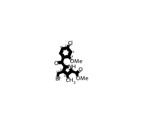 COC(=O)c1[nH]c(C(=O)c2ccc(Cl)cc2OC)c(CBr)c1C